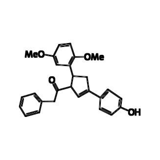 COc1ccc(OC)c(C2CC(c3ccc(O)cc3)=CC2C(=O)Cc2ccccc2)c1